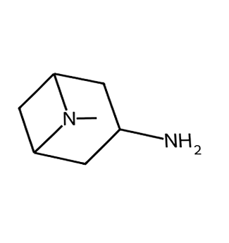 CN1C2CC(N)CC1C2